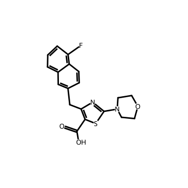 O=C(O)c1sc(N2CCOCC2)nc1Cc1ccc2c(F)cccc2c1